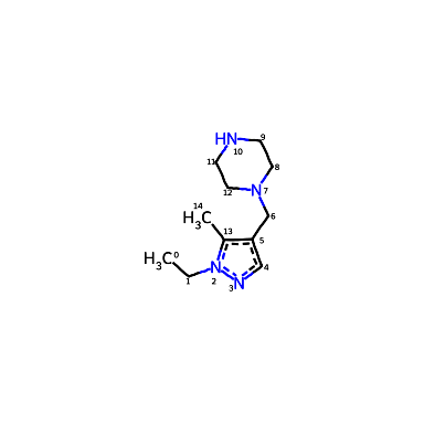 CCn1ncc(CN2CCNCC2)c1C